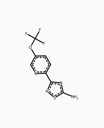 Nc1nc(-c2ccc(OC(F)(F)F)cn2)ns1